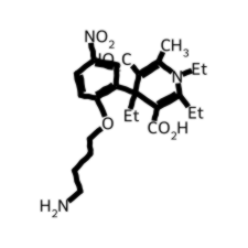 CCC1=C(C(=O)O)C(CC)(c2cc([N+](=O)[O-])ccc2OCCCCN)C(C(=O)O)=C(C)N1CC